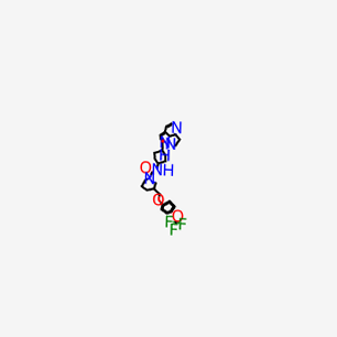 O=C(NC1CCC(C2=CC=C3C=CN=C4CC=NC34N2)CC1)N1CCCC(COc2ccc(OC(F)(F)F)cc2)C1